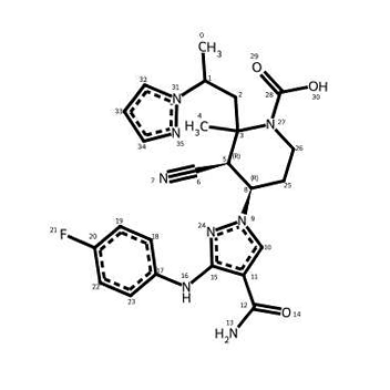 CC(CC1(C)[C@H](C#N)[C@H](n2cc(C(N)=O)c(Nc3ccc(F)cc3)n2)CCN1C(=O)O)n1cccn1